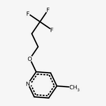 Cc1ccnc(OCCC(F)(F)F)c1